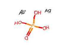 O=P(O)(O)O.[Ag].[Au]